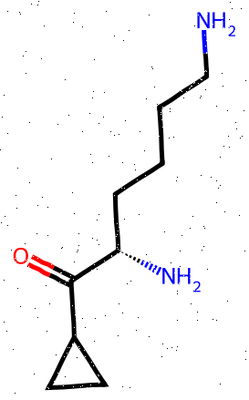 NCCCC[C@H](N)C(=O)C1CC1